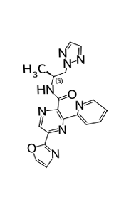 C[C@@H](Cn1nccn1)NC(=O)c1ncc(-c2ncco2)nc1-c1ccccn1